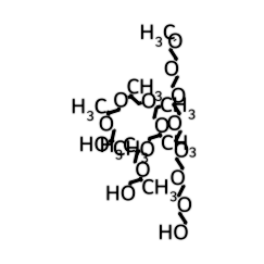 CC(O)COC(C)COC(C)COC(C)COC(C)COC(C)COC(C)CO.COCCOCCOCCOCCOCCOCCOCCO